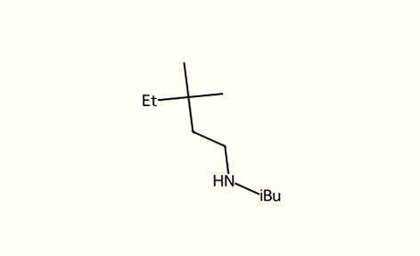 CCC(C)NCCC(C)(C)CC